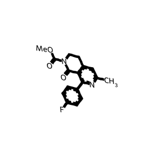 COC(=O)N1CCc2cc(C)nc(-c3ccc(F)cc3)c2C1=O